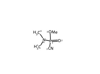 COP(=O)(C#N)N(C)C